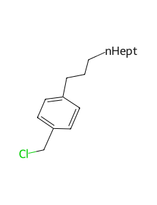 CCCCCCCCCCc1ccc(CCl)cc1